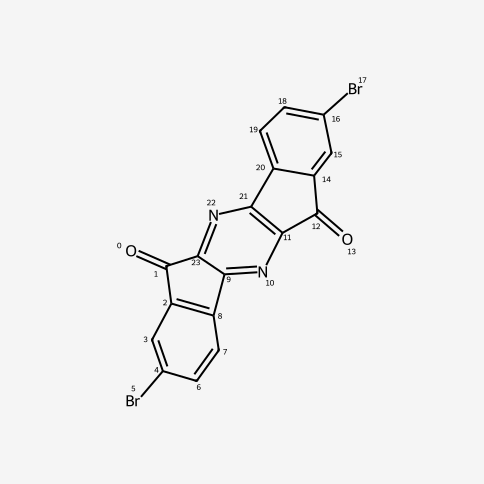 O=c1c2cc(Br)ccc2c2nc3c(=O)c4cc(Br)ccc4c3nc12